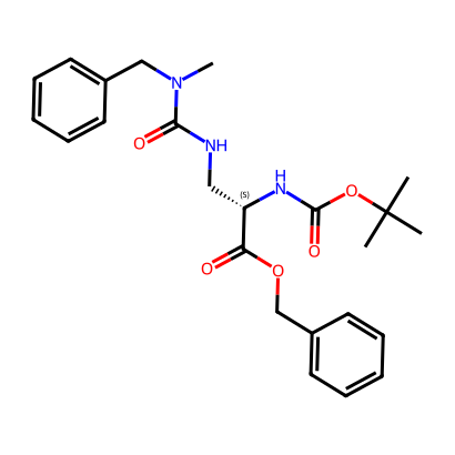 CN(Cc1ccccc1)C(=O)NC[C@H](NC(=O)OC(C)(C)C)C(=O)OCc1ccccc1